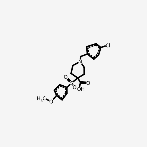 COc1ccc(S(=O)(=O)C2(C(=O)O)CCN(Cc3ccc(Cl)cc3)CC2)cc1